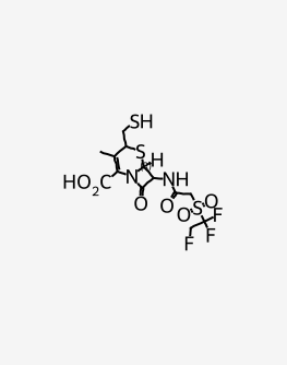 CC1=C(C(=O)O)N2C(=O)C(NC(=O)CS(=O)(=O)C(F)(F)CF)[C@H]2SC1CS